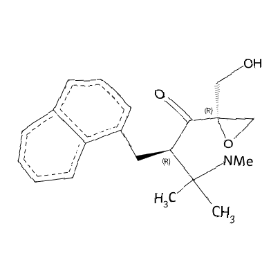 CNC(C)(C)[C@@H](Cc1cccc2ccccc12)C(=O)[C@@]1(CO)CO1